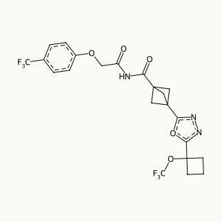 O=C(COc1ccc(C(F)(F)F)cc1)NC(=O)C12CC(c3nnc(C4(OC(F)(F)F)CCC4)o3)(C1)C2